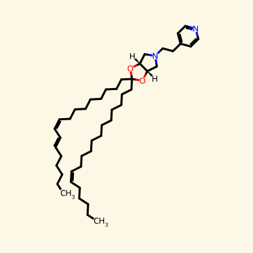 CCCCC/C=C\CCCCCCCCCCCC1(CCCCCCCC/C=C\C=C\CCCCC)O[C@H]2CN(CCc3ccncc3)C[C@H]2O1